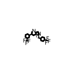 FC(F)(F)c1ccc(Cn2ncc3ncc(-c4cccc(C(F)(F)F)c4)cc32)cc1